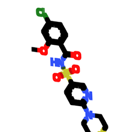 COc1cc(Cl)ccc1C(=O)NS(=O)(=O)c1ccc(N2CCSCC2)nc1